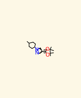 CC1CCC(n2cc(B3OC(C)(C)C(C)(C)O3)cn2)CC1